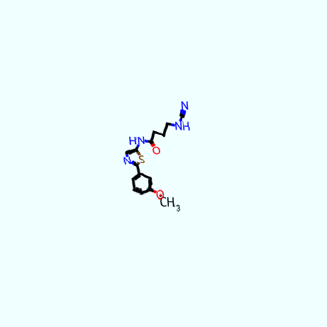 COc1cccc(-c2ncc(NC(=O)CCCNC#N)s2)c1